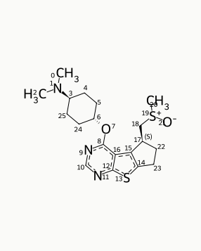 CN(C)[C@H]1CC[C@H](Oc2ncnc3sc4c(c23)[C@@H](C[S+](C)[O-])CC4)CC1